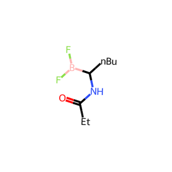 [CH2]CCCC(NC(=O)CC)B(F)F